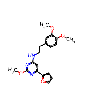 COc1nc(NCCc2ccc(OC)c(OC)c2)cc(-c2ccco2)n1